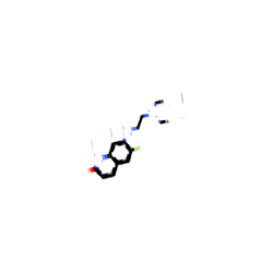 CCN(CC)CCNc1cc2[nH]c(=O)ccc2cc1F